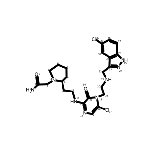 NC(=O)CN1CCCCC1CCNc1ncc(Cl)n(CCNCc2n[nH]c3ccc(Cl)cc23)c1=O